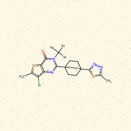 [2H]C([2H])([2H])n1c(C23CCC(c4nnc(C)s4)(CC2)CC3)nc2c(Br)c(C)sc2c1=O